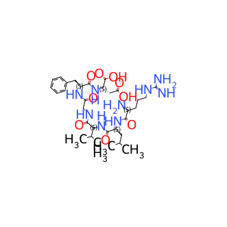 CC(C)C[C@H](NC(=O)[C@@H](N)CCCNC(=N)N)C(=O)N[C@H](C(=O)NCC(=O)N[C@@H](Cc1ccccc1)C(=O)N[C@@H](CC(=O)O)C(=O)O)C(C)C